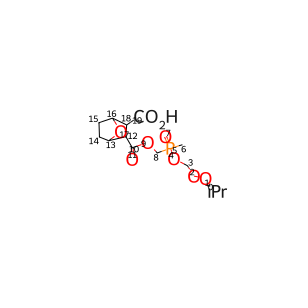 CC(C)OOCOP(C)(=O)COC(=O)C1C2CCC(O2)C1C(=O)O